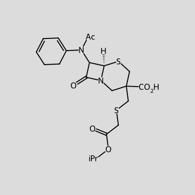 CC(=O)N(C1=CC=CCC1)C1C(=O)N2CC(CSCC(=O)OC(C)C)(C(=O)O)CS[C@H]12